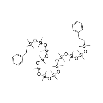 C[Si](C)(CCc1ccccc1)O[Si](C)(C)O[Si](C)(C)O[Si](C)(C)O[Si](C)(C)O[Si](C)(C)O[Si](C)(C)O[Si](C)(C)O[Si](C)(C)O[Si](C)(C)O[Si](C)(C)O[Si](C)(C)CCc1ccccc1